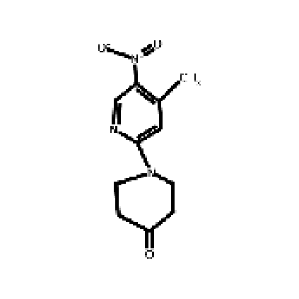 Cc1cc(N2CCC(=O)CC2)ncc1[N+](=O)[O-]